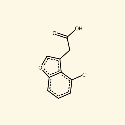 O=C(O)Cc1coc2cccc(Cl)c12